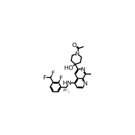 CC(=O)N1CCC(O)(c2cc3c(N[C@H](C)c4cccc(C(F)F)c4F)ccnc3c(C)n2)CC1